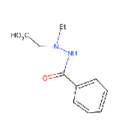 CCN(CC(=O)O)NC(=O)c1ccccc1